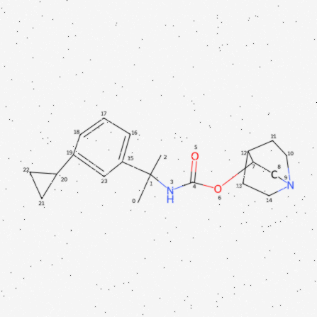 CC(C)(NC(=O)OC1CN2CCC1CC2)c1cccc(C2CC2)c1